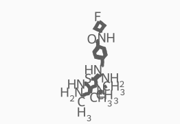 C/C(=C1/C(=N)S/C(=C(/N)NCc2ccc(C(=O)NC3CC(F)C3)cc2)C1N(C)C)C(C)N